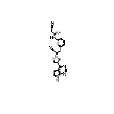 N#CCC(=O)Nc1cccc(CC(C#N)N2CC(c3ncnc4[nH]ccc34)C=N2)c1